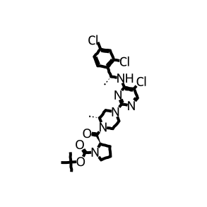 C[C@@H]1CN(c2ncc(Cl)c(N[C@H](C)c3ccc(Cl)cc3Cl)n2)CCN1C(=O)[C@H]1CCCN1C(=O)OC(C)(C)C